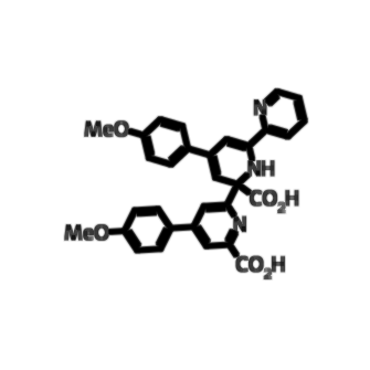 COc1ccc(C2=CC(C(=O)O)(c3cc(-c4ccc(OC)cc4)cc(C(=O)O)n3)NC(c3ccccn3)=C2)cc1